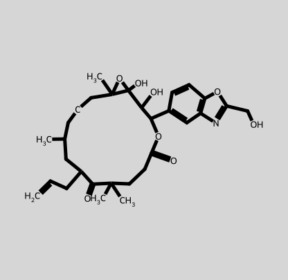 C=CCC1CC(C)CCCC2(C)OC2(O)C(O)C(c2ccc3oc(CO)nc3c2)OC(=O)CCC(C)(C)C1=O